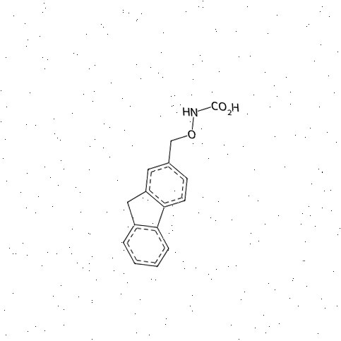 O=C(O)NOCc1ccc2c(c1)Cc1ccccc1-2